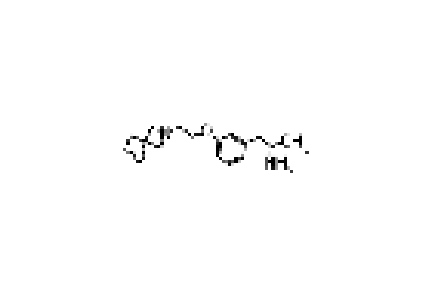 CC(N)Cc1cccc(OCCN2CC3(CCO3)C2)c1